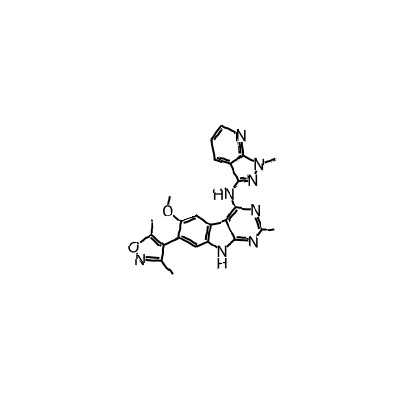 COc1cc2c(cc1-c1c(C)noc1C)[nH]c1nc(C)nc(Nc3nn(C)c4ncccc34)c12